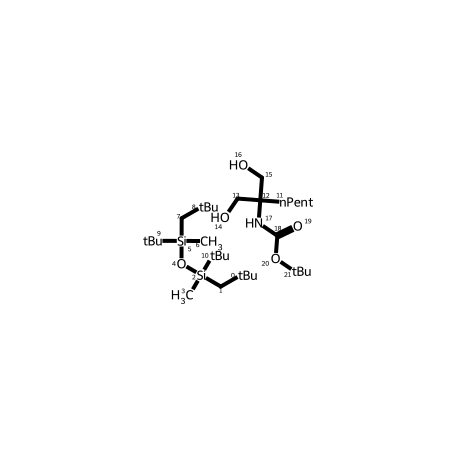 CC(C)(C)C[Si](C)(O[Si](C)(CC(C)(C)C)C(C)(C)C)C(C)(C)C.CCCCCC(CO)(CO)NC(=O)OC(C)(C)C